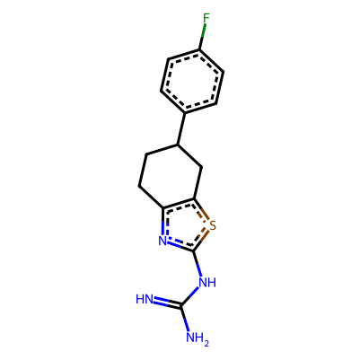 N=C(N)Nc1nc2c(s1)CC(c1ccc(F)cc1)CC2